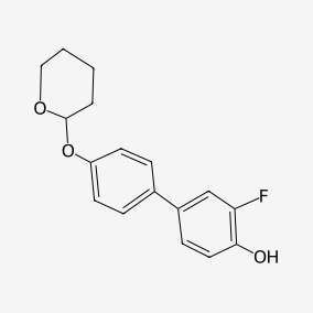 Oc1ccc(-c2ccc(OC3CCCCO3)cc2)cc1F